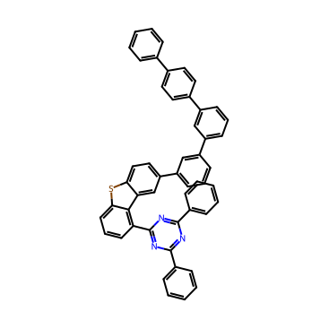 c1ccc(-c2ccc(-c3cccc(-c4cccc(-c5ccc6sc7cccc(-c8nc(-c9ccccc9)nc(-c9ccccc9)n8)c7c6c5)c4)c3)cc2)cc1